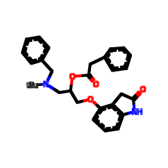 CC(C)(C)N(Cc1ccccc1)CC(COc1cccc2c1CC(=O)N2)OC(=O)Cc1ccccc1